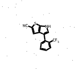 N#Cc1cc2c(-c3ccccc3C(F)(F)F)c[nH]c2s1